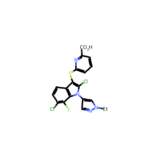 CCn1cc(-n2c(Cl)c(Sc3cccc(C(=O)O)n3)c3ccc(Cl)c(F)c32)cn1